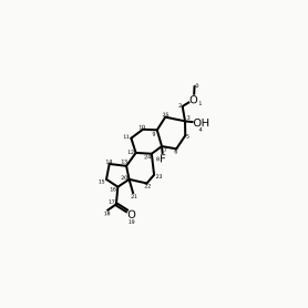 COCC1(O)CCC2(F)C(CCC3C4CCC(C(C)=O)C4(C)CCC32)C1